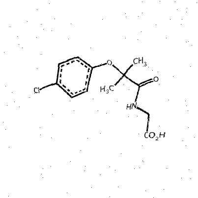 CC(C)(Oc1ccc(Cl)cc1)C(=O)NCC(=O)O